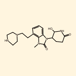 Cn1c(=O)n(C2CCC(=O)NC2O)c2cccc(CCN3CCNCC3)c21